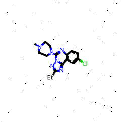 CCc1nc2c3cc(Cl)ccc3nc(N3CCN(C)CC3)n2n1